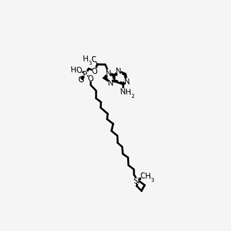 C[C@H](Cn1cnc2c(N)ncnc21)OCP(=O)(O)OCCCCCCCCCCCCCCCCC[Si]1(C)CCC1